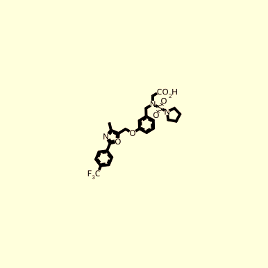 Cc1nc(-c2ccc(C(F)(F)F)cc2)oc1COc1cccc(CN(CC(=O)O)S(=O)(=O)N2CCCC2)c1